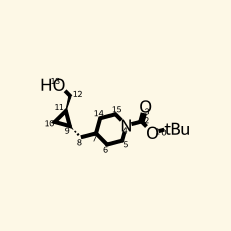 CC(C)(C)OC(=O)N1CCC(C[C@@H]2C[C@H]2CO)CC1